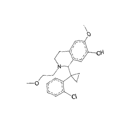 COCCN1CCc2cc(OC)c(O)cc2C1C1(c2ccccc2Cl)CC1